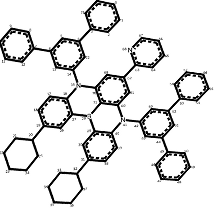 c1ccc(-c2cc(-c3ccccc3)cc(N3c4ccc(C5CCCCC5)cc4B4c5cc(C6CCCCC6)ccc5N(c5cc(-c6ccccc6)cc(-c6ccccc6)c5)c5cc(-c6ccccn6)cc3c54)c2)cc1